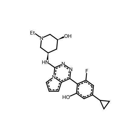 CCN1C[C@@H](O)C[C@@H](Nc2nnc(-c3c(O)cc(C4CC4)cc3F)c3cccn23)C1